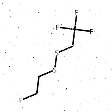 FCCSSCC(F)(F)F